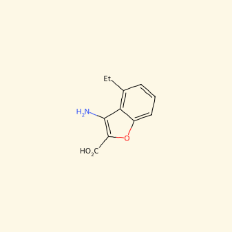 CCc1cccc2oc(C(=O)O)c(N)c12